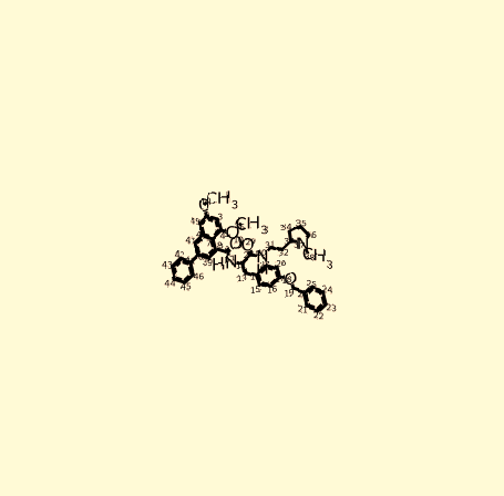 COc1cc(OC)c2c(C(=O)NC(Cc3ccc(OCc4ccccc4)cc3)C(=O)NCCC3CCCN3C)cc(-c3ccccc3)cc2c1